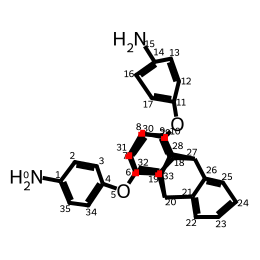 Nc1ccc(Oc2ccc(Oc3ccc(N)cc3)c3c2C2c4ccccc4C3c3ccccc32)cc1